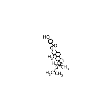 CC(C)CCC[C@@H](C)[C@H]1CCC2C3CC=C4CC(OC(=O)c5ccc(O)cc5)CC[C@]4(C)C3CC[C@@]21C